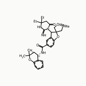 CCC1(CC)CC(=O)N(C2c3cc(C(=O)N[C@H]4CC(C)(C)Oc5ccccc54)ccc3OC2(COC)COC)C(=N)N1